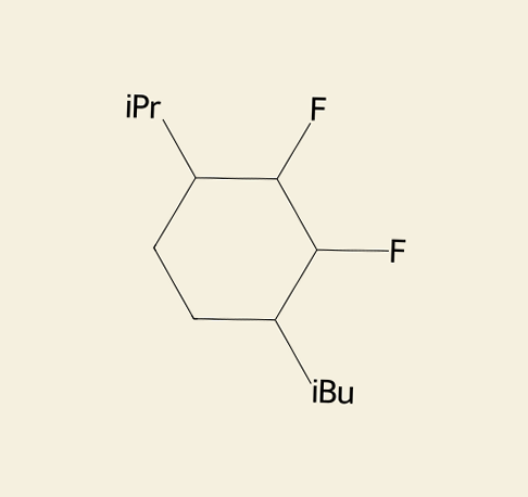 CCC(C)C1CCC(C(C)C)C(F)C1F